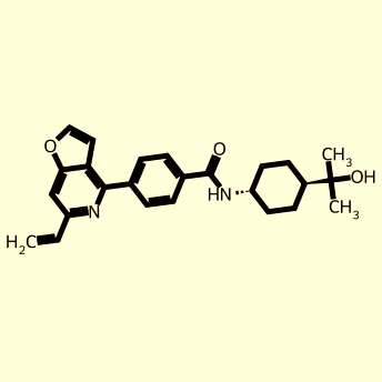 C=Cc1cc2occc2c(-c2ccc(C(=O)N[C@H]3CC[C@H](C(C)(C)O)CC3)cc2)n1